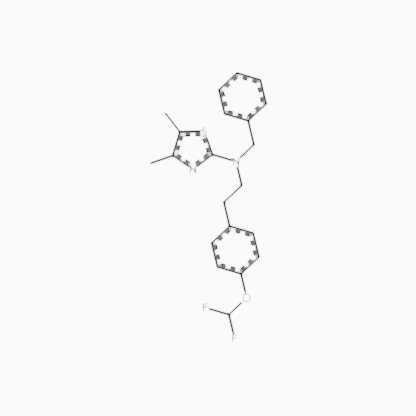 Cc1nc(N(CCc2ccc(OC(F)F)cc2)Cc2ccccc2)sc1C